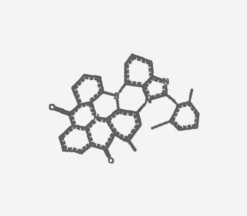 Cc1cccc(C)c1-c1nc2cccc3c2n1-c1cc(C)c2c(=O)c4cccc5c(=O)c6cccc7c6n(c2c1B37)c54